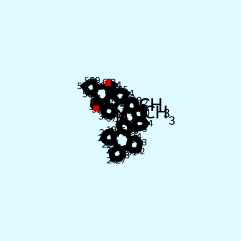 CC1(C)c2ccccc2-c2c(N(c3ccc4c(c3)-c3ccccc3-c3ccccc3-c3ccccc3-4)c3cccc4c3-c3ccccc3C43c4ccccc4-c4ccccc4-c4ccccc43)cccc21